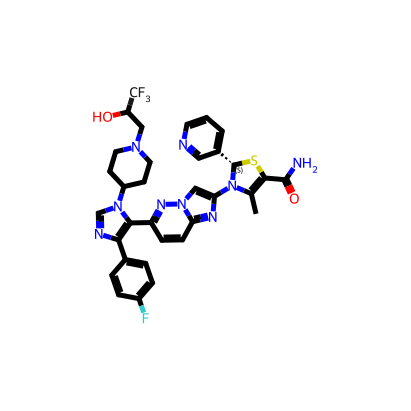 CC1=C(C(N)=O)S[C@@H](c2cccnc2)N1c1cn2nc(-c3c(-c4ccc(F)cc4)ncn3C3CCN(CC(O)C(F)(F)F)CC3)ccc2n1